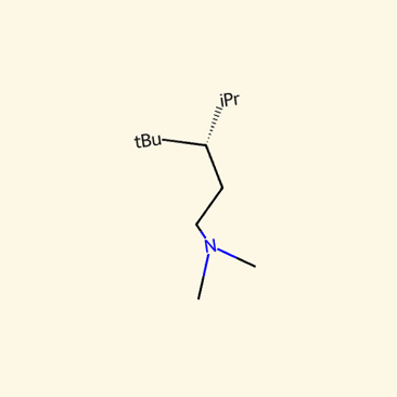 CC(C)[C@H](CCN(C)C)C(C)(C)C